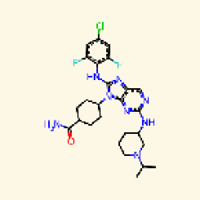 CC(C)N1CCCC(Nc2ncc3nc(Nc4c(F)cc(Cl)cc4F)n(C4CCC(C(N)=O)CC4)c3n2)C1